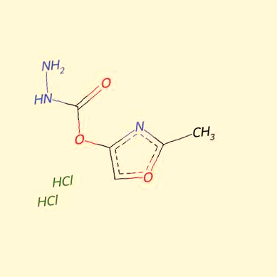 Cc1nc(OC(=O)NN)co1.Cl.Cl